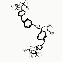 CN(CO)CN(CNc1ccc(Cc2ccc(N(C(C)(C)C)C(C)(C)C)cc2)cc1)c1ccc(Cc2ccc(N(C(C)(C)C)C(C)(C)C)cc2)cc1